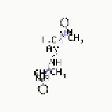 C=N/C(=N\C=C(/C)CNCCNC/C(C)=C/N=C(\N=C)c1ccccc1)c1ccccc1